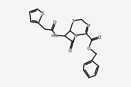 O=C(Cc1cccs1)NC1C(=O)N2C(C(=O)OCc3ccccc3)=NCSC12